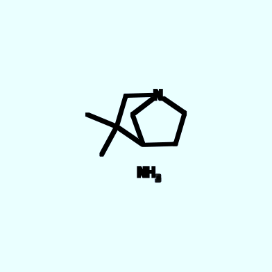 CC1(C)CN2CCC1C2.N